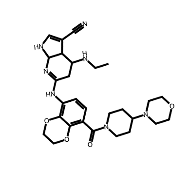 CCNC1CC(Nc2ccc(C(=O)N3CCC(N4CCOCC4)CC3)c3c2OCCO3)=NC2NC=C(C#N)C12